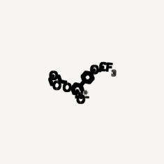 [O-][n+]1cc(OCC2COCCO2)cc(-c2ccc(OCC(F)(F)F)cc2)c1